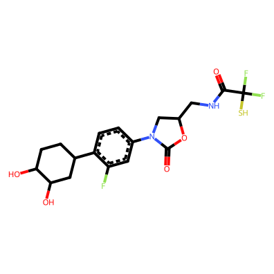 O=C1OC(CNC(=O)C(F)(F)S)CN1c1ccc(C2CCC(O)C(O)C2)c(F)c1